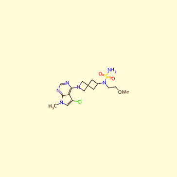 COCCN(C1CC2(C1)CN(c1ncnc3c1c(Cl)cn3C)C2)S(N)(=O)=O